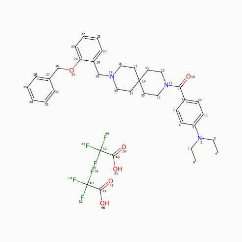 CCN(CC)c1ccc(C(=O)N2CCC3(CCN(Cc4ccccc4OCc4ccccc4)CC3)CC2)cc1.O=C(O)C(F)(F)F.O=C(O)C(F)(F)F